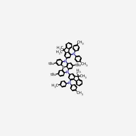 Cc1ccc(N(c2ccc(C)cc2)c2cc(N3c4ccc(C(C)(C)C)cc4B4c5cc(C(C)(C)C)ccc5N(c5cc(N(c6ccc(C)cc6)c6ccc(C)cc6)c6c(c5)C(C)(C)c5ccccc5-6)c5cc(C(C)(C)C)cc3c54)cc3c2-c2ccccc2C3(C)C)cc1